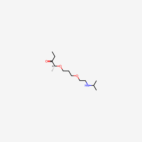 CCC(=O)[C@@H](C)OCCCOCCNC(C)C